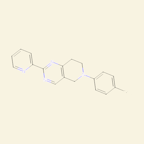 O=[N+]([O-])c1ccc(N2CCc3nc(-c4ccccn4)ncc3C2)cc1